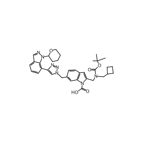 CC(C)(C)OC(=O)N(Cc1cc2ccc(Cn3cc(-c4cccc5cnn(C6CCCCO6)c45)nn3)cc2n1C(=O)O)CC1CCC1